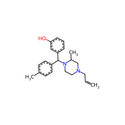 C=CCN1CCN(C(c2ccc(C)cc2)c2cccc(O)c2)C(C)C1